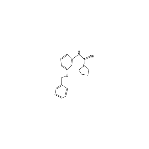 N=C(Nc1cccc(OCc2ccccc2)c1)N1CCCC1